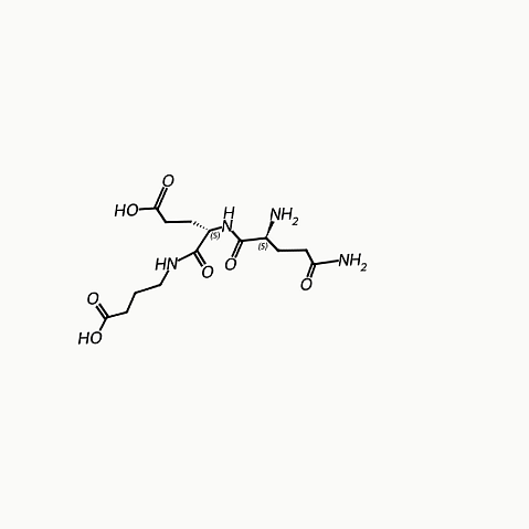 NC(=O)CC[C@H](N)C(=O)N[C@@H](CCC(=O)O)C(=O)NCCCC(=O)O